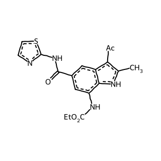 CCOC(=O)Nc1cc(C(=O)Nc2nccs2)cc2c(C(C)=O)c(C)[nH]c12